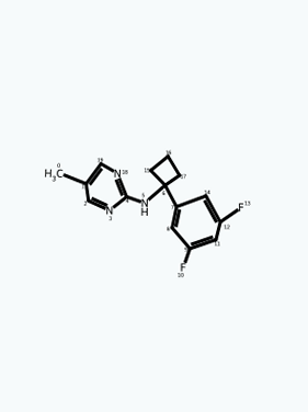 Cc1cnc(NC2(c3cc(F)cc(F)c3)CCC2)nc1